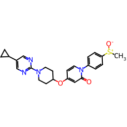 C[S+]([O-])c1ccc(-n2ccc(OC3CCN(c4ncc(C5CC5)cn4)CC3)cc2=O)cc1